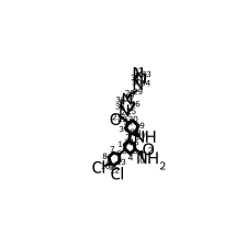 NC(=O)c1cc(-c2ccc(Cl)c(Cl)c2)cc2c1[nH]c1ccc(C(=O)N3CCN(CCN4C=NCC4)CC3)cc12